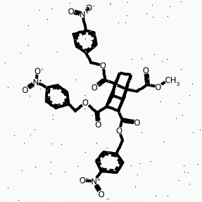 COC(=O)CC12C3C4C1(C(=O)OCc1ccc([N+](=O)[O-])cc1)C1C2C3(C(=O)OCc2ccc([N+](=O)[O-])cc2)C41C(=O)OCc1ccc([N+](=O)[O-])cc1